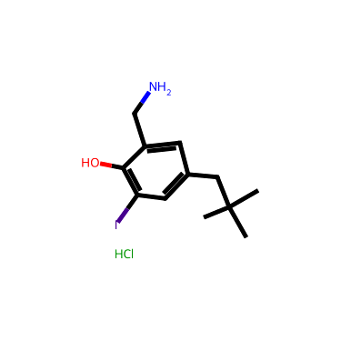 CC(C)(C)Cc1cc(I)c(O)c(CN)c1.Cl